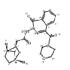 O=C(C[C@H]1C[C@@H]2CC[C@H]1C2)Nn1nc(C(=O)N2CCOCC2)c2ccccc2c1=O